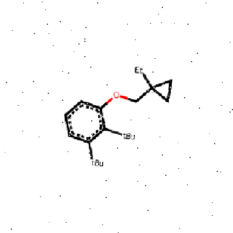 CCC1(COc2cccc(C(C)(C)C)c2C(C)(C)C)CC1